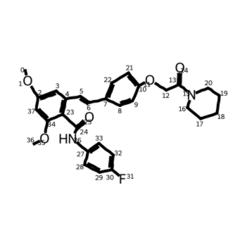 COc1cc(C=Cc2ccc(OCC(=O)N3CCCCC3)cc2)c(C(=O)Nc2ccc(F)cc2)c(OC)c1